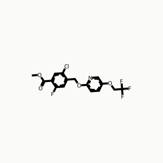 COC(=O)c1cc(Cl)c(COc2ccc(OCC(F)(F)F)cn2)cc1F